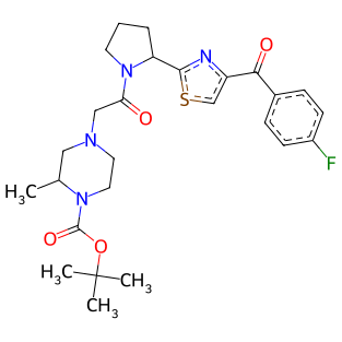 CC1CN(CC(=O)N2CCCC2c2nc(C(=O)c3ccc(F)cc3)cs2)CCN1C(=O)OC(C)(C)C